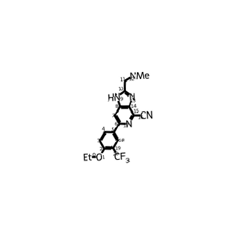 CCOc1ccc(-c2cc3[nH]c(CNC)nc3c(C#N)n2)cc1C(F)(F)F